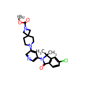 CC(C)(C)OC(=O)N1CC2(CCN(c3cncc(N4C(=O)c5ccc(Cl)cc5C4(C)C)c3)CC2)C1